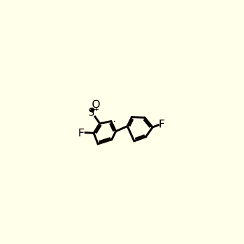 O=[S+]c1[c]c(-c2ccc(F)cc2)ccc1F